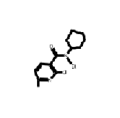 CCN(C(=O)c1ccc(C)nc1Cl)C1CCCCC1